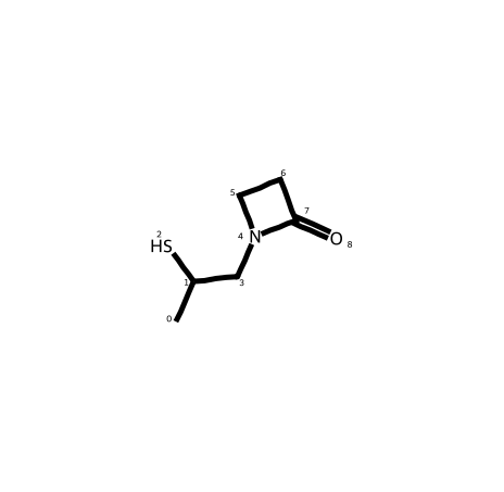 CC(S)CN1CCC1=O